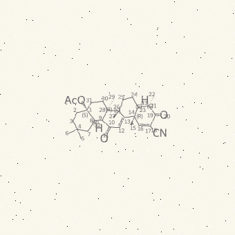 CC(=O)O[C@]12CCC(C)(C)C[C@@H]1C1C(=O)C=C3[C@@]4(C)C=C(C#N)C(=O)[C@@H](C)[C@@H]4CC[C@@]3(C)[C@]1(C)CC2